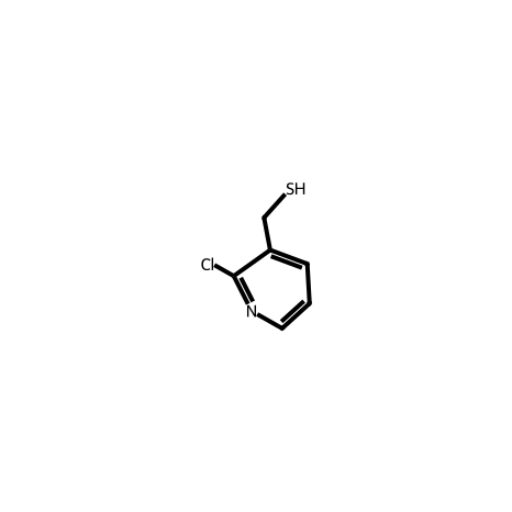 SCc1cccnc1Cl